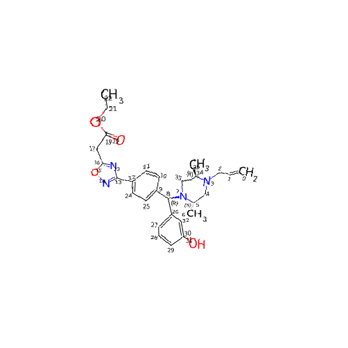 C=CCN1C[C@H](C)N([C@H](c2ccc(-c3noc(CC(=O)OCC)n3)cc2)c2cccc(O)c2)C[C@H]1C